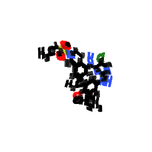 CCS(=O)(=O)N1CCc2c(cccc2Nc2nc(Nc3cc(C)c(OC)c(C)c3)ncc2Cl)C1